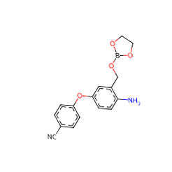 N#Cc1ccc(Oc2ccc(N)c(COB3OCCO3)c2)cc1